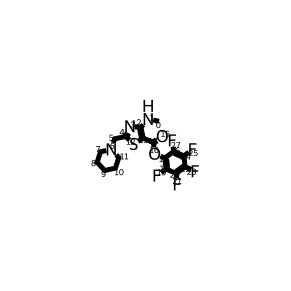 CNc1nc(CN2CCCCC2)sc1C(=O)Oc1c(F)c(F)c(F)c(F)c1F